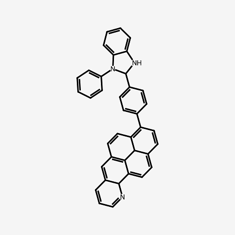 C1=CC2=CC3=C4C(=CC=C5C=CC(c6ccc(C7Nc8ccccc8N7c7ccccc7)cc6)=C(C=C3)C54)C2N=C1